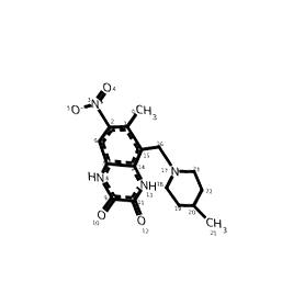 Cc1c([N+](=O)[O-])cc2[nH]c(=O)c(=O)[nH]c2c1CN1CCC(C)CC1